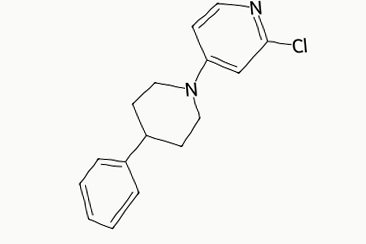 Clc1cc(N2CCC(c3ccccc3)CC2)ccn1